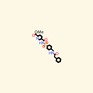 COC(=O)c1ccc(C(=O)NS(=O)(=O)c2ccc(CNC(=O)Cc3ccccc3)cc2)cn1